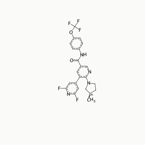 C[C@@H]1CCN(c2ncc(C(=O)Nc3ccc(OC(F)(F)F)cc3)cc2-c2cc(F)nc(F)c2)C1